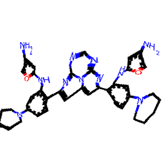 Nc1coc(Nc2cc(N3CCCCC3)ccc2C2=CC3=CC(c4ccc(N5CCCCC5)cc4Nc4cc(N)co4)=NC4=NC=NC(=N2)N34)c1